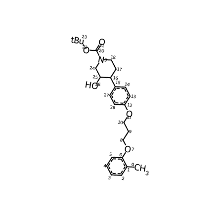 Cc1ccccc1OCCCOc1ccc(C2CCN(C(=O)OC(C)(C)C)CC2O)cc1